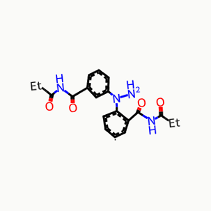 CCC(=O)NC(=O)c1cccc(N(N)c2cc[c]cc2C(=O)NC(=O)CC)c1